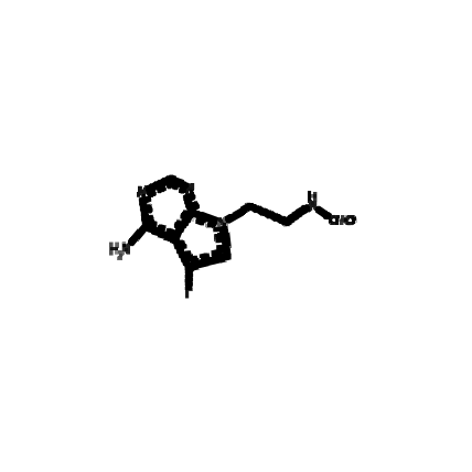 Nc1ncnc2c1c(I)cn2CCNC=O